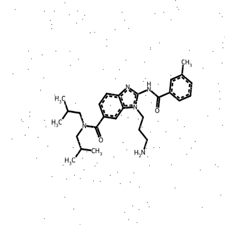 Cc1cccc(C(=O)Nc2nc3ccc(C(=O)N(CC(C)C)CC(C)C)cc3n2CCCN)c1